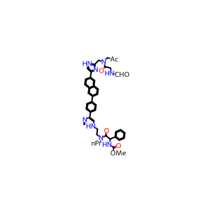 C=N/C(=C\NCCN(CCC)C(=O)C(NC(=O)OC)c1ccccc1)c1ccc(-c2ccc3cc(-c4c[nH]c(CN(CC(C)=O)C(=O)CNC=O)n4)ccc3c2)cc1